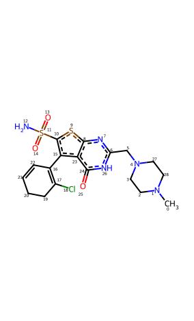 CN1CCN(Cc2nc3sc(S(N)(=O)=O)c(C4=C(Cl)CCC=C4)c3c(=O)[nH]2)CC1